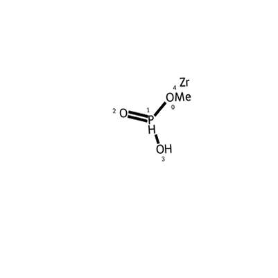 CO[PH](=O)O.[Zr]